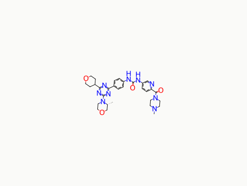 C[C@@H]1COCCN1c1nc(-c2ccc(NC(=O)Nc3ccc(C(=O)N4CCN(C)CC4)nc3)cc2)nc(C2CCOCC2)n1